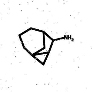 NC1C2CCCC3(C2)CC13